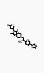 CC1=CC2(CCN(C[C@H](O)c3cnc(-n4cnnn4)cn3)CC2)C(=O)N1C1=CC(=O)OC1